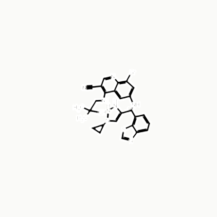 CC(C)(C)CNc1c(C#N)cnc2c(Br)cc(N[C@H](C3=CN(C4CC4)NN3)c3cccc4ncsc34)cc12